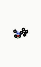 Clc1cccc(-n2c(-n3c4ccccc4c4cc([Si](c5ccccc5)(c5ccccc5)c5ccccc5)ccc43)nc3ccccc32)c1